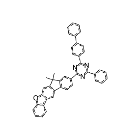 CC1(C)c2cc(-c3nc(-c4ccccc4)nc(-c4ccc(-c5ccccc5)cc4)n3)ccc2-c2cc3c(cc21)oc1ccccc13